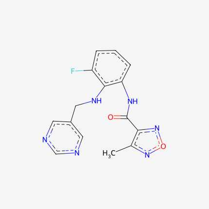 Cc1nonc1C(=O)Nc1cccc(F)c1NCc1cncnc1